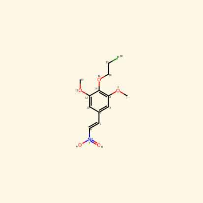 COc1cc(C=C[N+](=O)[O-])cc(OC)c1OCCF